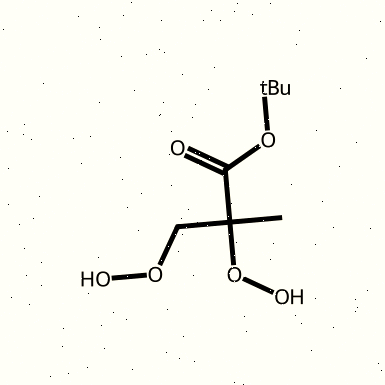 CC(C)(C)OC(=O)C(C)(COO)OO